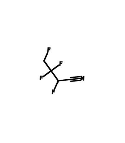 N#C[C](F)C(F)(F)CF